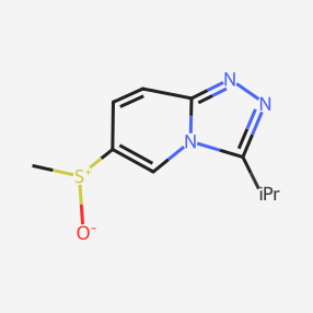 CC(C)c1nnc2ccc([S+](C)[O-])cn12